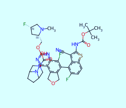 CN1C[C@@H](F)C[C@H]1COc1nc(N2C3CCC2CN(C(=O)O)C3)c2c3c(c(-c4c(F)ccc5sc(NC(=O)OC(C)(C)C)c(C#N)c45)c(F)c2n1)COC3